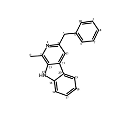 Cc1nc(Cc2ccccc2)cc2c1[nH]c1ccccc12